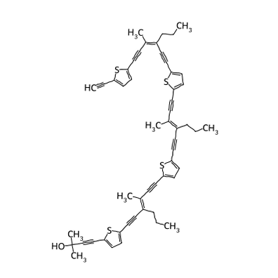 C#Cc1ccc(C#C/C(C)=C(\C#Cc2ccc(C#C/C(C)=C(/C#Cc3ccc(C#C/C(C)=C(/C#Cc4ccc(C#CC(C)(C)O)s4)CCC)s3)CCC)s2)CCC)s1